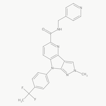 Cn1cc2c3nc(C(=O)NCc4ccncc4)ccc3n(-c3ccc(C(C)(F)F)cc3)c2n1